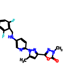 Cc1cc(-c2nn(C)c(=O)o2)nn1-c1ccc(NCc2c(F)cccc2F)cn1